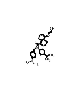 CC(C)c1ccc(N(Cc2ccc(N(C)C)cc2)C(=O)C2CCCc3c(OCCO)cccc32)cc1